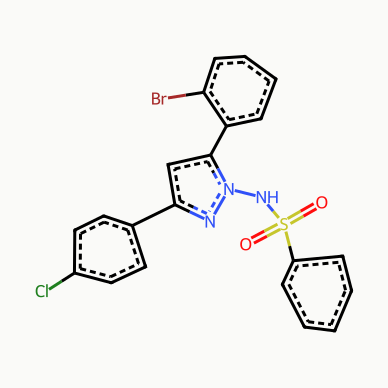 O=S(=O)(Nn1nc(-c2ccc(Cl)cc2)cc1-c1ccccc1Br)c1ccccc1